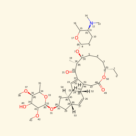 CC[C@H]1CCC[C@H](O[C@H]2CC[C@H](N(C)C)C(C)O2)[C@@H](C)C(=O)C2=C[C@@H]3[C@@H](C=C[C@@H]4C[C@@H](O[C@@H]5OC(C)[C@H](OC)C(O)C5OC)C[C@@H]34)[C@@H]2CC(=O)O1